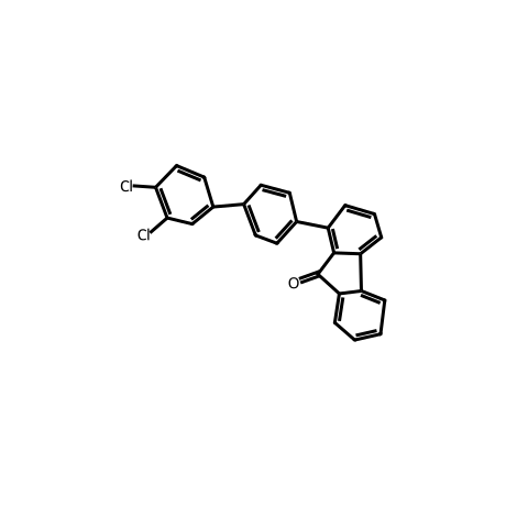 O=C1c2ccccc2-c2cccc(-c3ccc(-c4ccc(Cl)c(Cl)c4)cc3)c21